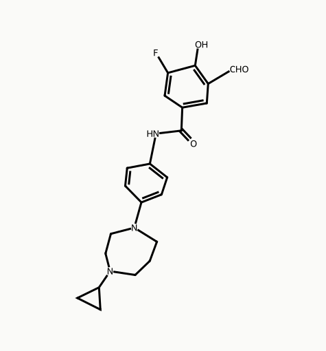 O=Cc1cc(C(=O)Nc2ccc(N3CCCN(C4CC4)CC3)cc2)cc(F)c1O